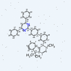 CC1C=CC2=C(c3ccc#cc3C2(C)C)C1c1cccc(-c2ccc(-c3nc(-c4ccccc4)cc(-c4ccccc4)n3)cc2)c1